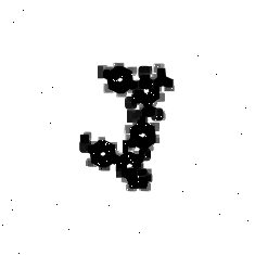 COc1ccc(-c2cc(Oc3ccc(NC(=O)c4cn(C(C)C)c(=O)n(-c5ccc(F)cc5)c4=O)cc3F)n3nccc3n2)cc1